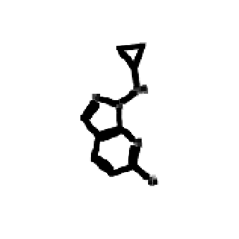 Clc1ccc2cnn(PC3CC3)c2n1